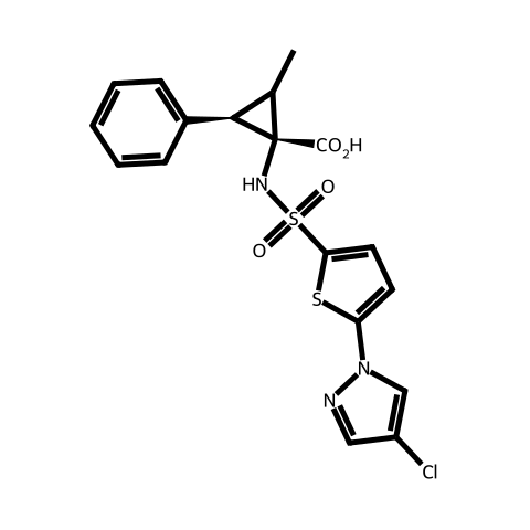 CC1[C@H](c2ccccc2)[C@]1(NS(=O)(=O)c1ccc(-n2cc(Cl)cn2)s1)C(=O)O